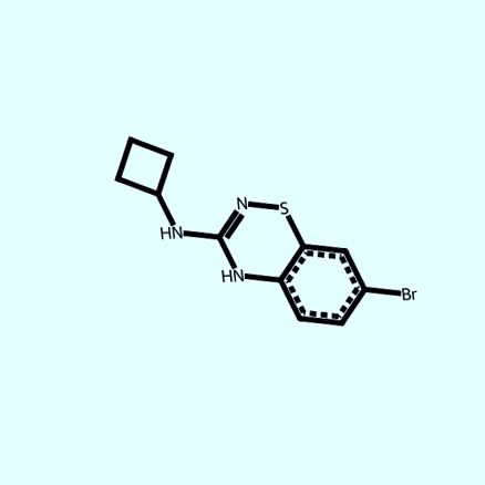 Brc1ccc2c(c1)SN=C(NC1CCC1)N2